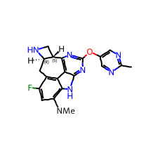 CNc1cc(F)c2c3c1[nH]c1nc(Oc4cnc(C)nc4)nc(c13)[C@H]1CN[C@@H]1C2